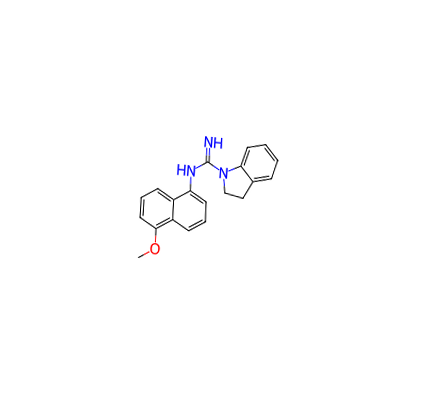 COc1cccc2c(NC(=N)N3CCc4ccccc43)cccc12